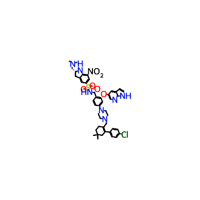 CN(C)C[C@H]1Cc2cc(S(=O)(=O)NC(=O)c3ccc(N4CCN(CC5=C(c6ccc(Cl)cc6)CC(C)(C)CC5)CC4)cc3Oc3cnc4[nH]ccc4c3)cc([N+](=O)[O-])c2N1